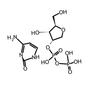 Nc1cc[nH]c(=O)n1.O=P(O)(O)OP(=O)(O)O[C@H]1CO[C@H](CO)[C@H]1O